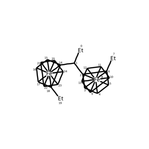 CCC([C]12[CH]3[CH]4[CH]5[C]1(CC)[Fe]45321678[CH]2[CH]1[CH]6[CH]7[CH]28)[C]12[CH]3[CH]4[CH]5[C]1(CC)[Fe]45321678[CH]2[CH]1[CH]6[CH]7[CH]28